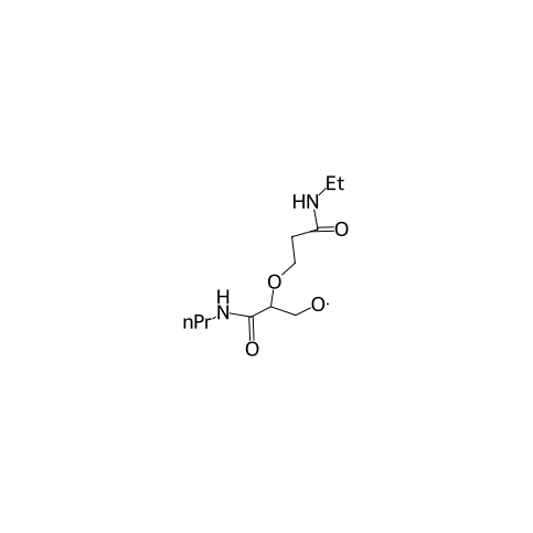 CCCNC(=O)C(C[O])OCCC(=O)NCC